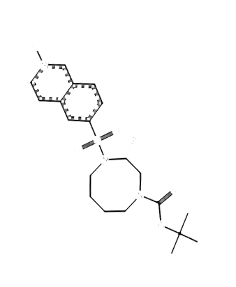 C[C@@H]1CN(C(=O)OC(C)(C)C)CCCCN1S(=O)(=O)c1ccc2c[n+]([O-])ccc2c1